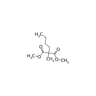 CCCCC(C)(C(=O)OC)C(=O)OC